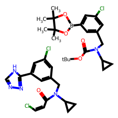 CC(C)(C)OC(=O)N(Cc1cc(Cl)cc(B2OC(C)(C)C(C)(C)O2)c1)C1CC1.O=C(/C=C\Cl)N(Cc1cc(Cl)cc(-c2nnc[nH]2)c1)C1CC1